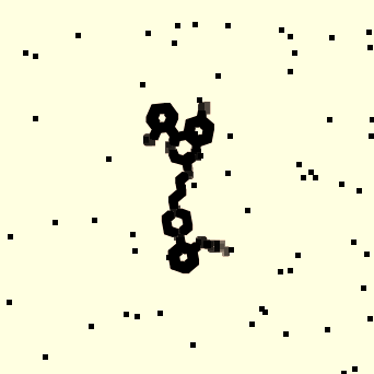 COc1ccccc1N1CCN(CCCSC2=Nc3ccc(Cl)cc3C(c3ccccc3Cl)=NC2)CC1